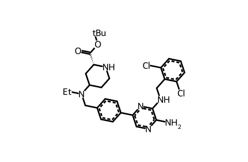 CCN(Cc1ccc(-c2cnc(N)c(NCc3c(Cl)cccc3Cl)n2)cc1)C1CCN[C@@H](C(=O)OC(C)(C)C)C1